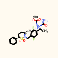 CC(c1cc(F)c(CN2[C@@H](C)CC[C@H](c3ccccc3)S2(=O)=O)cc1F)N(NC(=O)OC(C)(C)C)C(N)=O